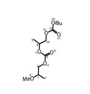 COC(C)COC(=O)OC(C)COC(=O)OCC(C)C